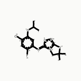 CC(C)Oc1cc(/N=c2\onc3n2CC(C)(C)S3)c(F)cc1Cl